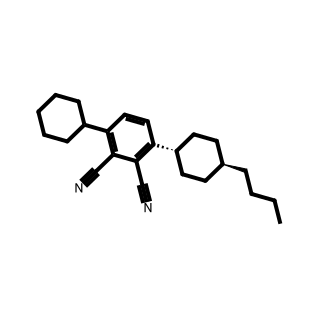 CCCC[C@H]1CC[C@H](c2ccc(C3CCCCC3)c(C#N)c2C#N)CC1